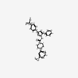 COc1cc(N2CCN(C(=O)Cn3nc(-c4ccc(C(F)F)cc4)cc3-c3ccccc3)CC2)ncn1